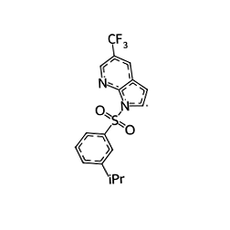 CC(C)c1cccc(S(=O)(=O)n2[c]cc3cc(C(F)(F)F)cnc32)c1